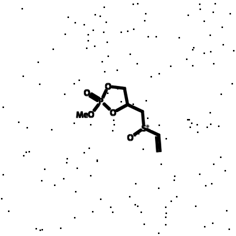 C=C[S+]([O-])CC1COP(=O)(OC)O1